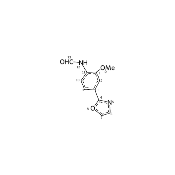 COc1cc(-c2ncco2)ccc1NC=O